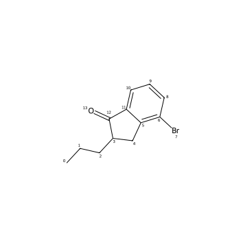 CCCC1Cc2c(Br)cccc2C1=O